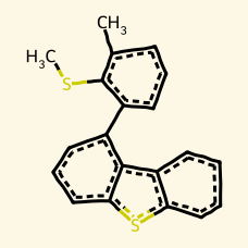 CSc1c(C)cccc1-c1cccc2sc3ccccc3c12